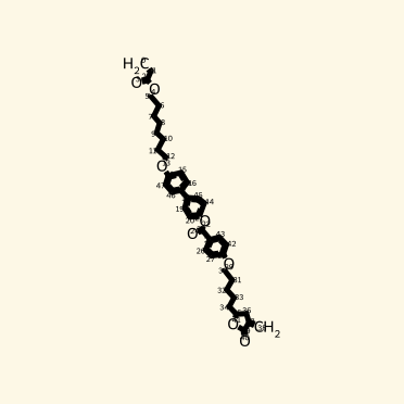 C=CC(=O)OCCCCCCCCOc1ccc(-c2ccc(OC(=O)c3ccc(OCCCCCC4CC(=C)C(=O)O4)cc3)cc2)cc1